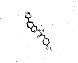 CC1CCN(CC(=O)Nc2cc3cc(-c4cncs4)ccc3cn2)CC1